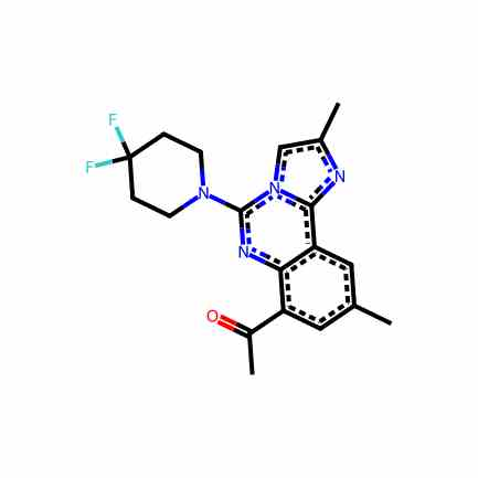 CC(=O)c1cc(C)cc2c1nc(N1CCC(F)(F)CC1)n1cc(C)nc21